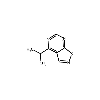 CC(C)c1ncnc2sncc12